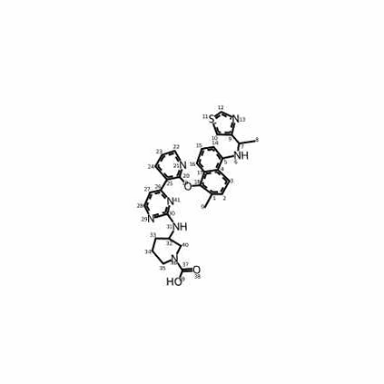 Cc1ccc2c(NC(C)c3cscn3)cccc2c1Oc1ncccc1-c1ccnc(NC2CCCN(C(=O)O)C2)n1